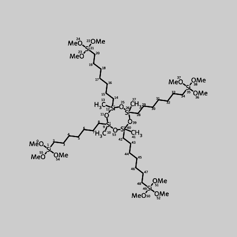 CO[Si](CCCCCCC[Si]1(C)O[Si](C)(CCCCCCC[Si](OC)(OC)OC)O[Si](C)(CCCCCCC[Si](OC)(OC)OC)O[Si](C)(CCCCCCC[Si](OC)(OC)OC)O1)(OC)OC